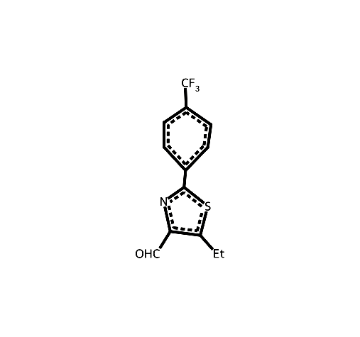 CCc1sc(-c2ccc(C(F)(F)F)cc2)nc1C=O